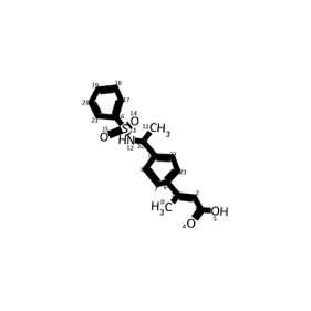 CC(=CC(=O)O)c1ccc(C(C)NS(=O)(=O)c2ccccc2)cc1